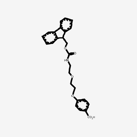 O=C(NCCOCCOc1ccc(C(=O)O)cc1)OCC1c2ccccc2-c2ccccc21